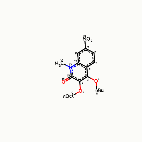 CCCCCCCCOc1c(OCCCC)c2ccc([N+](=O)[O-])cc2n(C)c1=O